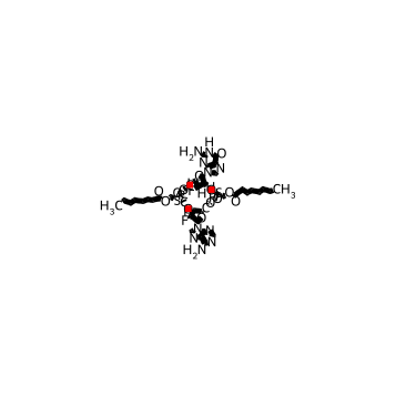 CCCCCCCC(=O)OCSP1(=O)CO[C@@H]2C(COP(=O)(SCOC(=O)CCCCCCC)O[C@@H]3[C@H](F)[C@@H](CO1)O[C@H]3n1cnc3c(=O)[nH]c(N)nc31)O[C@@H](n1cnc3c(N)ncnc31)[C@@H]2F